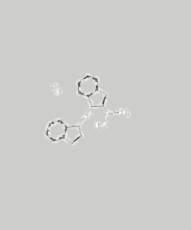 CP(C)C1=Cc2ccccc2[CH]1[Zr+2][CH]1C=Cc2ccccc21.[Cl-].[Cl-]